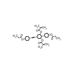 C=CC(=O)Oc1ccc(C#Cc2cc(OC(=O)C(=C)C)c(-c3ccc(OC(=O)C=C)cc3)c(OC(=O)C(=C)C)c2)cc1